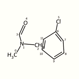 CN(C)C=O.Clc1ccccc1